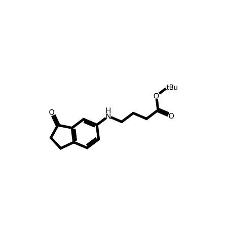 CC(C)(C)OC(=O)CCCNc1ccc2c(c1)C(=O)CC2